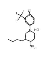 CCCCC1CN(c2ccc(Cl)c(C(F)(F)F)c2)CCC1N.Cl